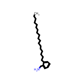 CCCCCCCCCCCCCCCCCCc1ccccc1CN